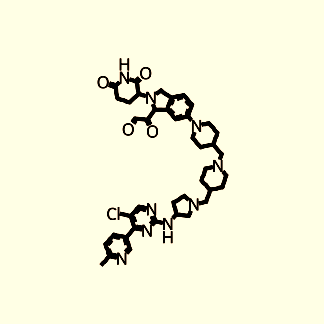 Cc1ccc(-c2nc(NC3CCN(CC4CCN(CC5CCN(c6ccc7c(c6)C(C(=O)C=O)N(C6CCC(=O)NC6=O)C7)CC5)CC4)C3)ncc2Cl)cn1